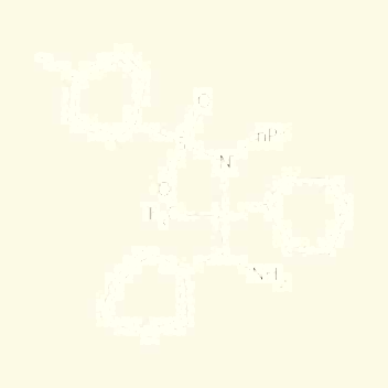 CCCN(C(c1ccccc1)(C(N)c1ccccc1)C(F)(F)F)S(=O)(=O)c1ccc(C)cc1